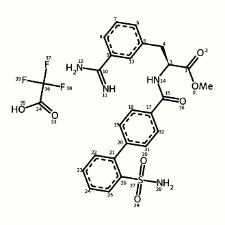 COC(=O)[C@H](Cc1cccc(C(=N)N)c1)NC(=O)c1ccc(-c2ccccc2S(N)(=O)=O)cc1.O=C(O)C(F)(F)F